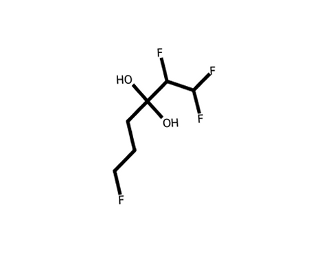 OC(O)(CCCF)C(F)C(F)F